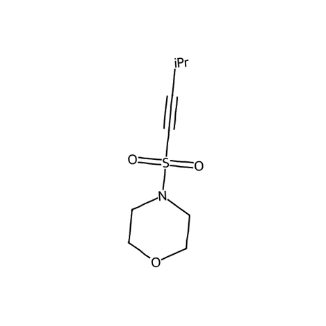 CC(C)C#CS(=O)(=O)N1CCOCC1